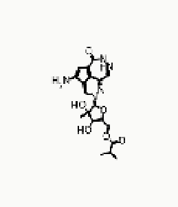 CC(C)C(=O)OCC1OC(n2cc3c(N)cc4c(=O)[nH]ncc(n2)c34)C(C)(O)C1O